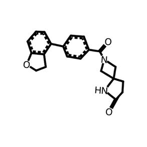 O=C1CCC2(CN(C(=O)c3ccc(-c4cccc5c4CCO5)cc3)C2)N1